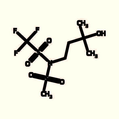 CC(C)(O)CCN(S(C)(=O)=O)S(=O)(=O)C(F)(F)F